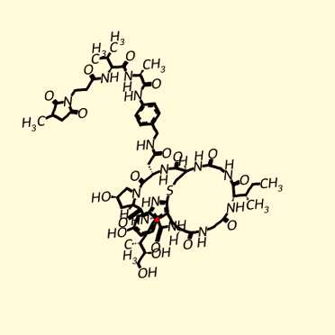 CC[C@H](C)[C@@H]1NC(=O)CNC(=O)[C@@H]2Cc3c([nH]c4cc(O)ccc34)SC[C@H](NC(=O)CNC1=O)C(=O)N[C@@H](CC(=O)NCc1ccc(NC(=O)[C@H](C)NC(=O)[C@@H](NC(=O)CCN3C(=O)CC(C)C3=O)C(C)C)cc1)C(=O)N1C[C@H](O)C[C@H]1C(=O)N[C@@H]([C@@H](C)[C@@H](O)CO)C(=O)N2